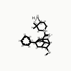 CSC1C2CC3(C(=S)N4CC[C@H](N)C(C)(C)C4)CC1CC(c1ccccc1)(C2)C3